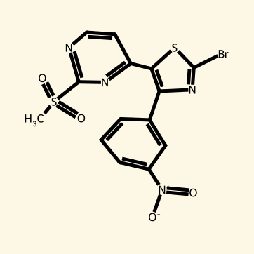 CS(=O)(=O)c1nccc(-c2sc(Br)nc2-c2cccc([N+](=O)[O-])c2)n1